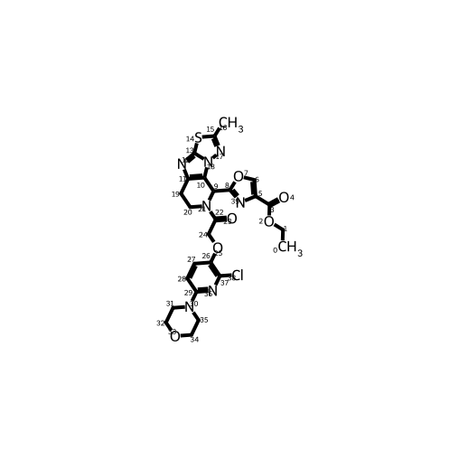 CCOC(=O)c1coc(C2c3c(nc4sc(C)nn34)CCN2C(=O)COc2ccc(N3CCOCC3)nc2Cl)n1